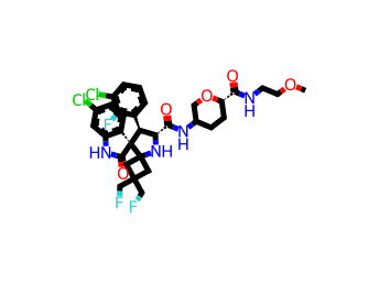 COCCNC(=O)[C@@H]1CCC(NC(=O)[C@@H]2NC3(CC(CF)(CF)C3)[C@@]3(C(=O)Nc4cc(Cl)ccc43)[C@H]2c2cccc(Cl)c2F)CO1